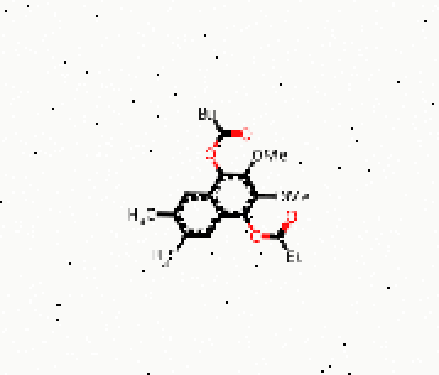 CCC(=O)Oc1c(OC)c(OC)c(OC(=O)C(C)CC)c2cc(C)c(C)cc12